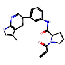 C=CC(=O)N1CCCC1C(=O)Nc1cccc(-c2cnc3[nH]cc(C)c3c2)c1